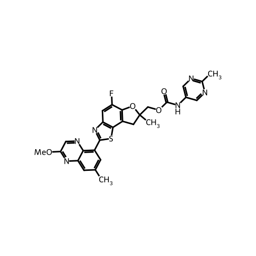 COc1cnc2c(-c3nc4cc(F)c5c(c4s3)CC(C)(COC(=O)Nc3cnc(C)nc3)O5)cc(C)cc2n1